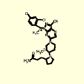 C[C@@H]1CN(c2cnc3c(C#N)nn([C@H](C)c4ccc(Cl)cc4Cl)c3n2)CCC1N1CCCC1CCC(N)=O